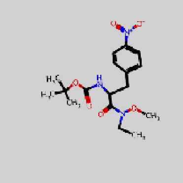 CCN(OC)C(=O)C(Cc1ccc([N+](=O)[O-])cc1)NC(=O)OC(C)(C)C